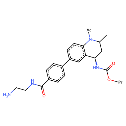 CC(=O)N1c2ccc(-c3ccc(C(=O)NCCN)cc3)cc2[C@H](NC(=O)OC(C)C)CC1C